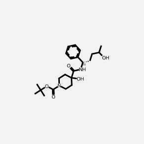 CC(O)CC[C@H](NC(=O)C1(O)CCN(C(=O)OC(C)(C)C)CC1)c1ccccc1